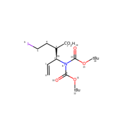 C=C[C@@H](C(CCI)C(=O)O)N(C(=O)OC(C)(C)C)C(=O)OC(C)(C)C